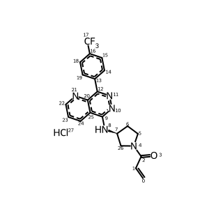 C=CC(=O)N1CC[C@H](Nc2nnc(-c3ccc(C(F)(F)F)cc3)c3ncccc23)C1.Cl